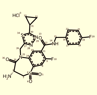 Cl.N[C@H]1CS(=O)(=O)c2cc(F)c(C(=O)NCc3ccc(F)cc3)cc2N(Cc2nnc(C3CC3)s2)C1=O